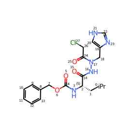 CC(C)C[C@H](NC(=O)OCc1ccccc1)C(=O)NN(Cc1c[nH]cn1)C(=O)CCl